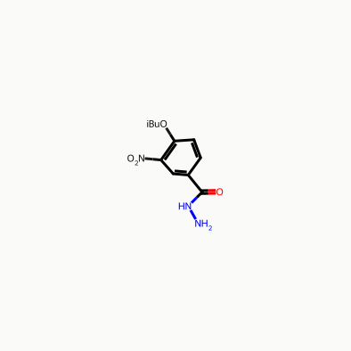 CC(C)COc1ccc(C(=O)NN)cc1[N+](=O)[O-]